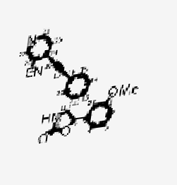 COc1cccc([C@H]2OC(=O)N[C@@H]2c2cccc(C#Cc3ccncc3C#N)c2)c1